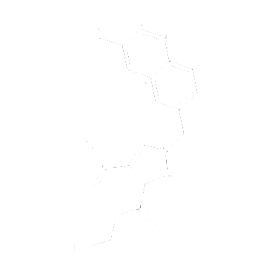 CCOC(=O)C1NN(Cc2ccc3ncc(Cl)cc3c2)C=C1[N+](=O)[O-]